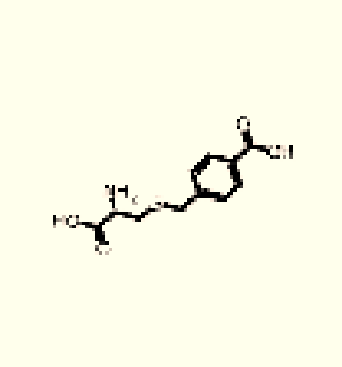 N[C@@H](CSCc1ccc(C(=O)O)cc1)C(=O)O